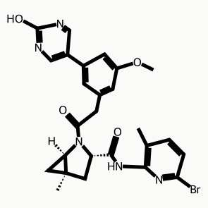 COc1cc(CC(=O)N2[C@H](C(=O)Nc3nc(Br)ccc3C)C[C@@]3(C)C[C@@H]23)cc(-c2cnc(O)nc2)c1